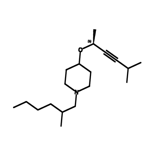 CCCCC(C)CN1CCC(O[C@@H](C)C#CC(C)C)CC1